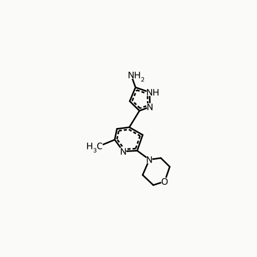 Cc1cc(-c2cc(N)[nH]n2)cc(N2CCOCC2)n1